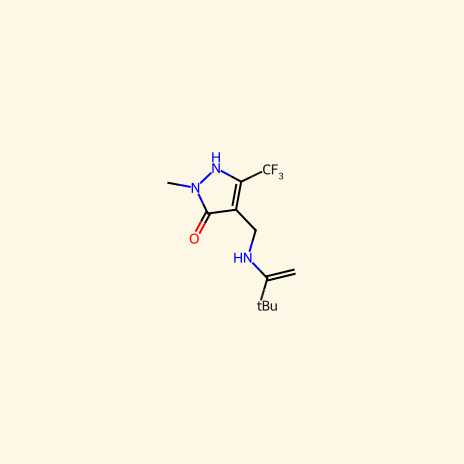 C=C(NCc1c(C(F)(F)F)[nH]n(C)c1=O)C(C)(C)C